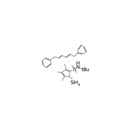 C(C=CCc1ccccc1)=CCc1ccccc1.CC1=C(C)C(C)[C]([Ti]([CH3])([CH3])[NH]C(C)(C)C)=C1C.[SiH4]